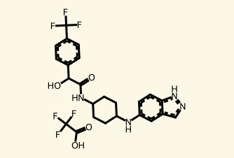 O=C(NC1CCC(Nc2ccc3[nH]ncc3c2)CC1)C(O)c1ccc(C(F)(F)F)cc1.O=C(O)C(F)(F)F